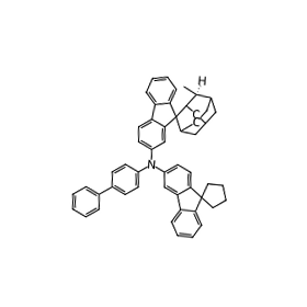 C[C@H]1C2CCC3CC(C2)CC1C31c2ccccc2-c2ccc(N(c3ccc(-c4ccccc4)cc3)c3ccc4c(c3)-c3ccccc3C43CCCC3)cc21